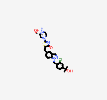 CC(C)(O)c1ccc(Cn2ncc3cc(C=C4SC(N5CCN[C@@H](CO)C5)=NC4=O)ccc32)c(Cl)c1